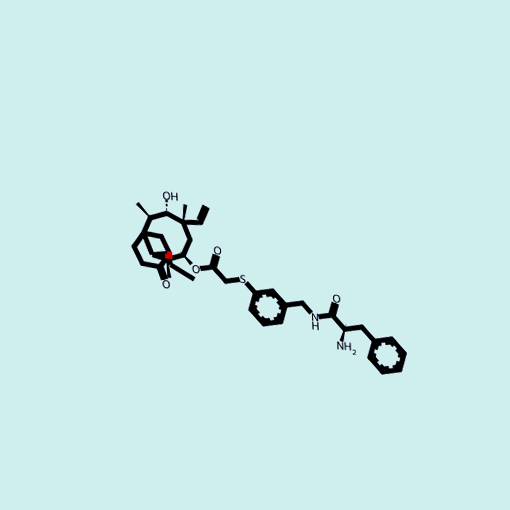 C=C[C@]1(C)C[C@@H](OC(=O)CSc2cccc(CNC(=O)[C@H](N)Cc3ccccc3)c2)[C@]2(C)C(C)CC34CC(CCC3=O)(C42)[C@@H](C)[C@@H]1O